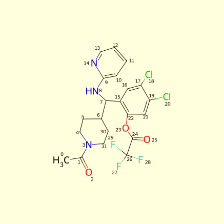 CC(=O)N1CCC(C(Nc2ccccn2)c2cc(Cl)c(Cl)cc2OC(=O)C(F)(F)F)CC1